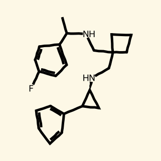 CC(NCC1(CN[C@H]2CC2c2ccccc2)CCC1)c1ccc(F)cc1